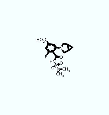 CN(C)S(=O)(=O)NC(=O)c1c(F)cc(C(=O)O)cc1N1CC2CC2C1